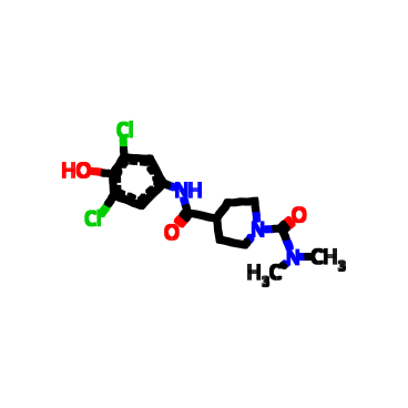 CN(C)C(=O)N1CCC(C(=O)Nc2cc(Cl)c(O)c(Cl)c2)CC1